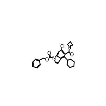 O=C(c1c(Cl)cc2c(ccn2C(=O)OCc2ccccc2)c1C1CCCCC1)N1CCC1